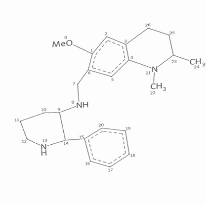 COc1cc2c(cc1CNC1CCCNC1c1ccccc1)N(C)C(C)CC2